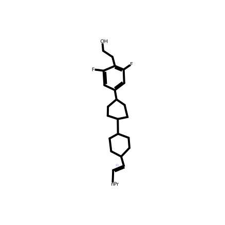 CCC/C=C/C1CCC(C2CCC(c3cc(F)c(CCO)c(F)c3)CC2)CC1